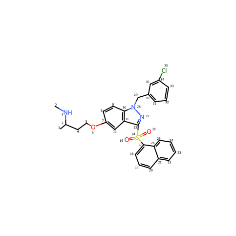 CNC(C)CCOc1ccc2c(c1)c(S(=O)(=O)c1cccc3ccccc13)nn2Cc1cccc(Cl)c1